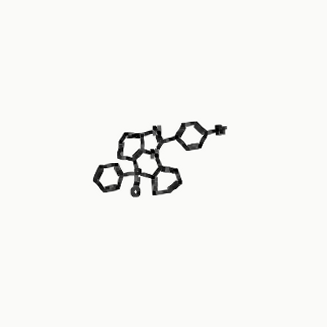 O=P1(c2ccccc2)c2ccccc2-n2c(-c3ccc(Br)cc3)nc3cccc1c32